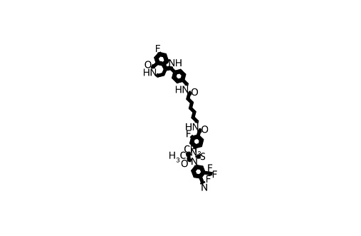 CC1(C)C(=O)N(c2ccc(C#N)c(C(F)(F)F)c2)C(=S)N1c1ccc(C(=O)NCCCCCCC(=O)NCc2ccc(-c3[nH]c4cc(F)cc5c4c3CCNC5=O)cc2)c(F)c1